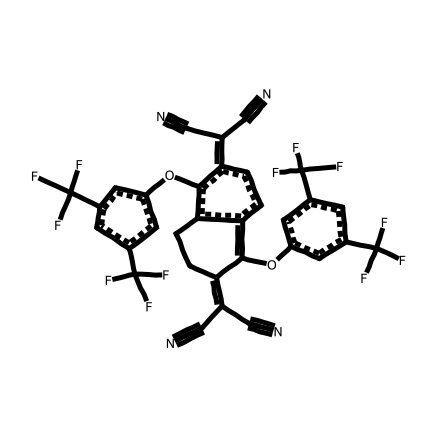 N#CC(C#N)=C1CCc2c(Oc3cc(C(F)(F)F)cc(C(F)(F)F)c3)c(=C(C#N)C#N)ccc2=C1Oc1cc(C(F)(F)F)cc(C(F)(F)F)c1